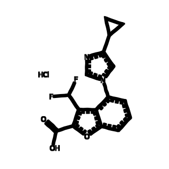 Cl.O=C(O)c1oc2cccc(-n3cnc(C4CC4)c3)c2c1C(F)F